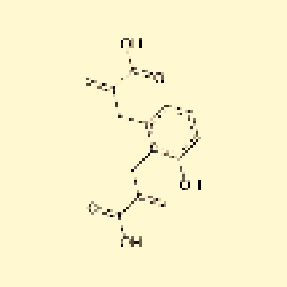 C=C(Cc1cccc(O)c1CC(=C)C(=O)O)C(=O)O